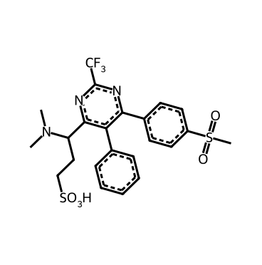 CN(C)C(CCS(=O)(=O)O)c1nc(C(F)(F)F)nc(-c2ccc(S(C)(=O)=O)cc2)c1-c1ccccc1